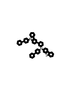 c1ccc(-c2ccc(N(c3cccc(-c4ccc5c(c4)c4ccccc4n5-c4ccc(-c5ccccc5)cc4)c3)c3ccc4c(c3)sc3ccccc34)cc2)cc1